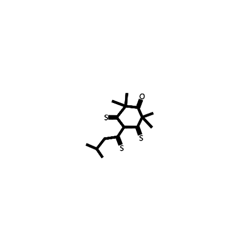 CC(C)CC(=S)C1C(=S)C(C)(C)C(=O)C(C)(C)C1=S